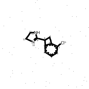 Clc1cccc2c1CC2C1=NCCN1